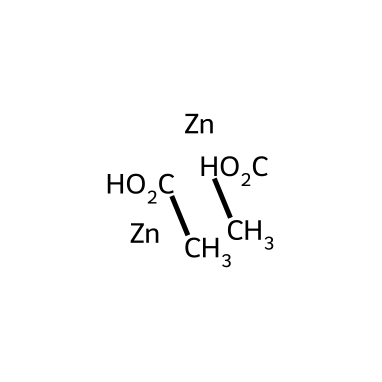 CC(=O)O.CC(=O)O.[Zn].[Zn]